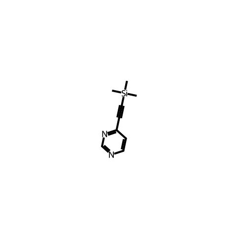 C[Si](C)(C)C#Cc1ccncn1